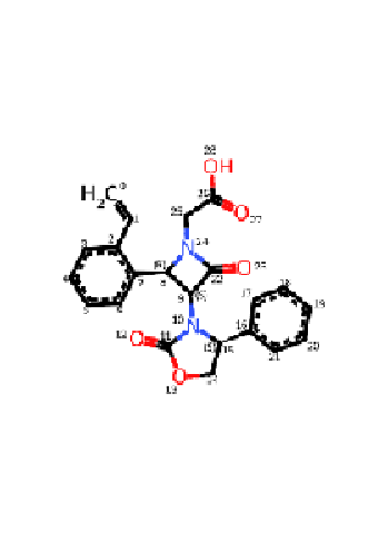 C=Cc1ccccc1[C@@H]1[C@H](N2C(=O)OC[C@@H]2c2ccccc2)C(=O)N1CC(=O)O